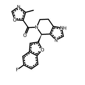 Cc1ncoc1C(=O)N1CCc2[nH]cnc2[C@H]1c1cc2cc(F)ccc2o1